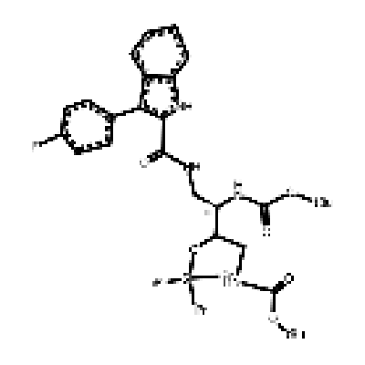 CC(C)[Si](OC(CNC(=O)OC(C)(C)C)[C@@H](CNC(=O)c1[nH]c2ccccc2c1-c1ccc(F)cc1)NC(=O)OC(C)(C)C)(C(C)C)C(C)C